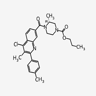 CCCOC(=O)N1CCN(C(=O)c2ccc3c(Cl)c(C)c(-c4ccc(C)cc4)nc3c2)[C@H](C)C1